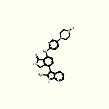 Cc1[nH]c2ncccc2c1-c1ccc(Nc2ccc(N3CCN(C)CC3)cn2)c2c1CNC2=O